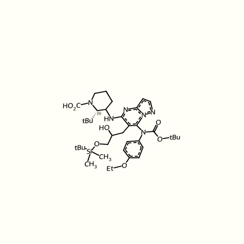 CCOc1ccc(N(C(=O)OC(C)(C)C)c2c(CC(O)CO[Si](C)(C)C(C)(C)C)c(NC3CCCN(C(=O)O)[C@H]3C(C)(C)C)nc3ccnn23)cc1